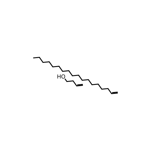 C=CCCCCCCCCCCCCCCCC.C=CCCO